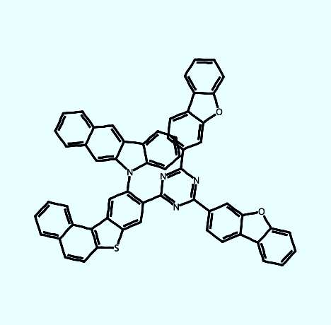 c1ccc2cc3c(cc2c1)c1ccccc1n3-c1cc2c(cc1-c1nc(-c3ccc4c(c3)oc3ccccc34)nc(-c3ccc4c(c3)oc3ccccc34)n1)sc1ccc3ccccc3c12